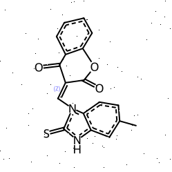 Cc1ccc2c(c1)[nH]c(=S)n2/C=C1\C(=O)Oc2ccccc2C1=O